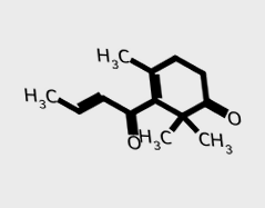 CC=CC(=O)C1=C(C)CCC(=O)C1(C)C